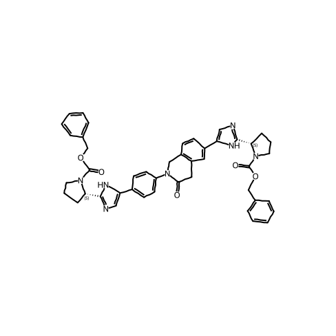 O=C1Cc2cc(-c3cnc([C@@H]4CCCN4C(=O)OCc4ccccc4)[nH]3)ccc2CN1c1ccc(-c2cnc([C@@H]3CCCN3C(=O)OCc3ccccc3)[nH]2)cc1